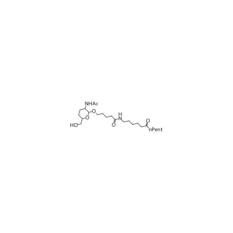 CCCCCC(=O)CCCCCNC(=O)CCCCOC1OC(CO)CCC1NC(C)=O